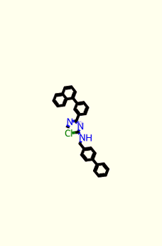 C=N/C(=N\C(Cl)NCc1ccc(-c2ccccc2)cc1)c1cccc(-c2cccc3ccccc23)c1